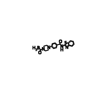 BC(=O)N1CCN(c2ccc(C(=O)Nc3nc4ccccc4s3)cc2)CC1